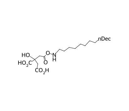 CCCCCCCCCCCCCCCCCCNOC(=O)CC(O)(CC(=O)O)C(=O)O